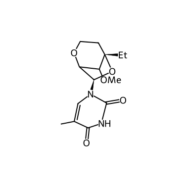 CC[C@]12CCOC(C1OC)[C@H](n1cc(C)c(=O)[nH]c1=O)O2